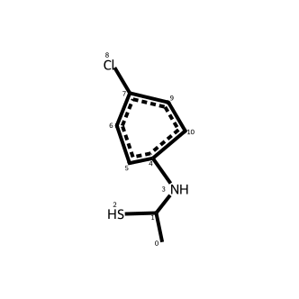 CC(S)Nc1ccc(Cl)cc1